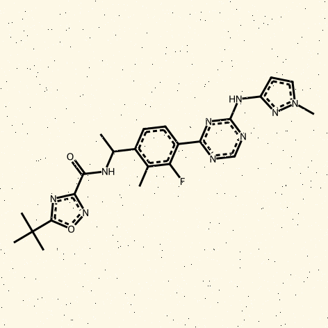 Cc1c(C(C)NC(=O)c2noc(C(C)(C)C)n2)ccc(-c2ncnc(Nc3ccn(C)n3)n2)c1F